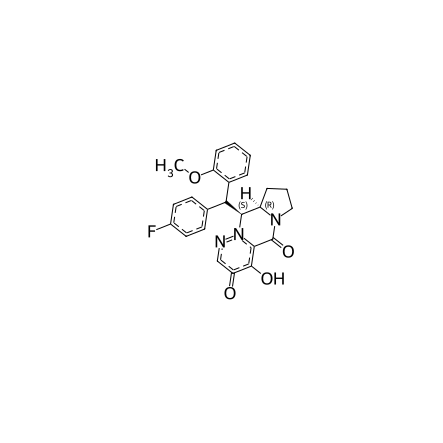 COc1ccccc1C(c1ccc(F)cc1)[C@H]1[C@H]2CCCN2C(=O)c2c(O)c(=O)cnn21